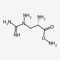 N=C(N)N(N)C[C@H](N)C(=O)ON